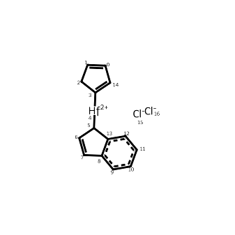 C1=CC[C]([Hf+2][CH]2C=Cc3ccccc32)=C1.[Cl-].[Cl-]